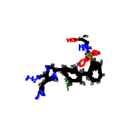 C[C@@H](O)CNS(=O)(=O)c1ccccc1-c1ccc(-c2cnc(N)c(C#N)n2)c(F)c1